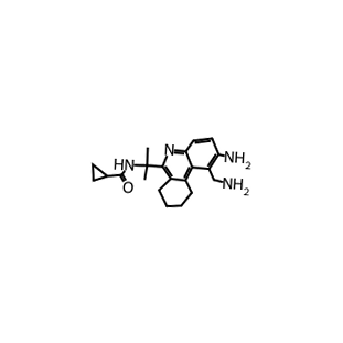 CC(C)(NC(=O)C1CC1)c1nc2ccc(N)c(CN)c2c2c1CCCC2